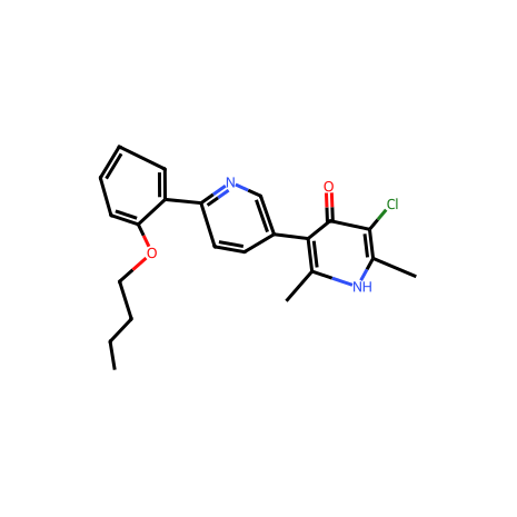 CCCCOc1ccccc1-c1ccc(-c2c(C)[nH]c(C)c(Cl)c2=O)cn1